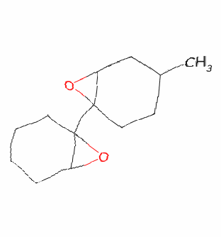 CC1CCC2(C34CCCCC3O4)OC2C1